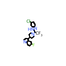 Fc1ccc2nccc(C3CCN(C(c4nc5ccc(Cl)cc5[nH]4)C(F)(F)F)CC3)c2c1